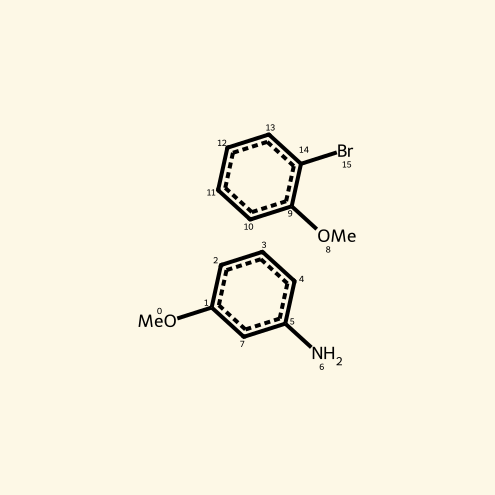 COc1cccc(N)c1.COc1ccccc1Br